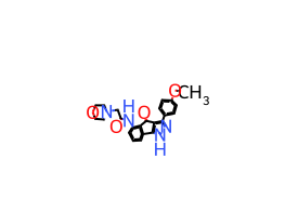 COc1ccc(-c2n[nH]c3c2C(=O)c2c(NC(=O)CN4CCOCC4)cccc2-3)cc1